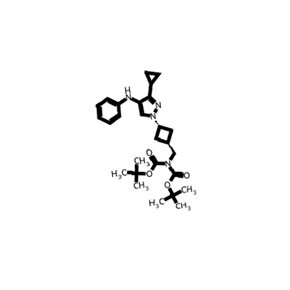 CC(C)(C)OC(=O)N(C[C@H]1C[C@H](n2cc(Nc3ccccc3)c(C3CC3)n2)C1)C(=O)OC(C)(C)C